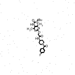 Cc1nc(OCC(=O)NC2CCN(C(=O)c3ccc(F)cc3)CC2)nc(C)c1NC(=O)OC(C)(C)C